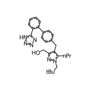 CCCc1c(Cc2ccc(-c3ccccc3-c3nnn[nH]3)cc2)c(CO)nn1CC(C)(C)C